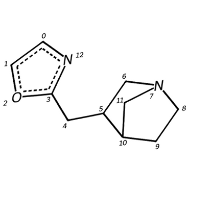 c1coc(CC2CN3CCC2C3)n1